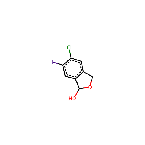 OC1OCc2cc(Cl)c(I)cc21